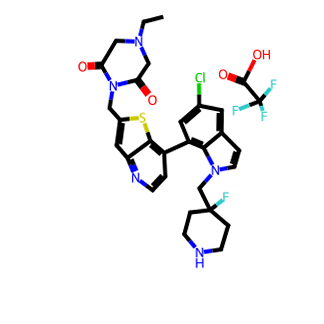 CCN1CC(=O)N(Cc2cc3nccc(-c4cc(Cl)cc5ccn(CC6(F)CCNCC6)c45)c3s2)C(=O)C1.O=C(O)C(F)(F)F